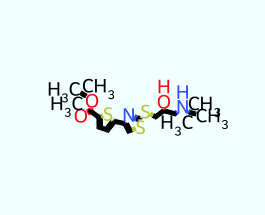 CC(C)(C)NCC(O)CSc1nc(-c2ccc(C(=O)OC(C)(C)C)s2)cs1